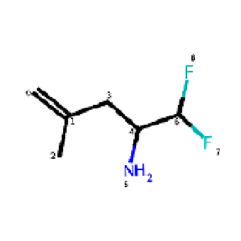 C=C(C)CC(N)C(F)F